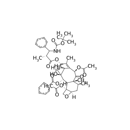 CC(=O)O[C@H]1C(=O)[C@@]2(C)[C@H]([C@H](OC(=O)c3ccccc3)[C@]3(O)C[C@H](OC(=O)[C@H](C)C(NC(=O)OC(C)(C)C)c4ccccc4)C(C)=C1C3(C)C)[C@]1(OC(C)=O)CO[C@@H]1C[C@@H]2C